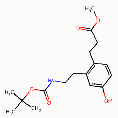 COC(=O)CCc1ccc(O)cc1CCNC(=O)OC(C)(C)C